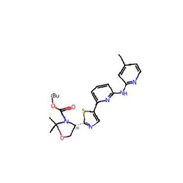 Cc1ccnc(Nc2cccc(-c3cnc([C@@H]4COC(C)(C)N4C(=O)OC(C)(C)C)s3)n2)c1